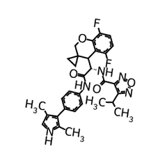 Cc1c[nH]c(C)c1-c1ccc(NC(=O)[C@@H](NC(=O)c2nonc2C(C)C)C2c3c(F)ccc(F)c3OCC23CC3)cc1